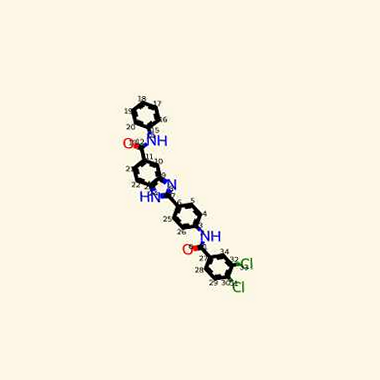 O=C(Nc1ccc(-c2nc3cc(C(=O)Nc4ccccc4)ccc3[nH]2)cc1)c1ccc(Cl)c(Cl)c1